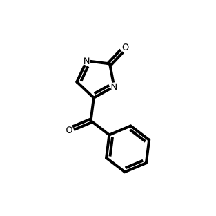 O=C1N=CC(C(=O)c2ccccc2)=N1